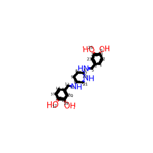 Oc1ccc(CNC2CC[C@H](NCc3ccc(O)c(O)c3)CN2)cc1O